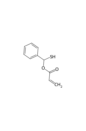 C=CC(=O)OC(S)c1ccccc1